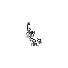 Cc1ccncc1-c1cc2cc(NC(=O)C(=O)Nc3ccc(CC#N)cn3)ncc2c(N)n1